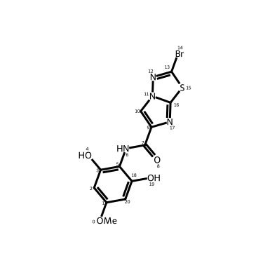 COc1cc(O)c(NC(=O)c2cn3nc(Br)sc3n2)c(O)c1